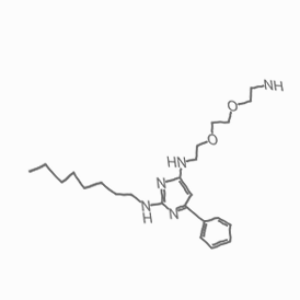 CCCCCCCCNc1nc(NCCOCCOCCN)cc(-c2ccccc2)n1